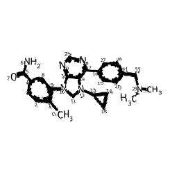 Cc1ccc(C(N)=O)cc1N1CN(C2CC2)c2c(-c3ccc(CN(C)C)cc3)ncnc21